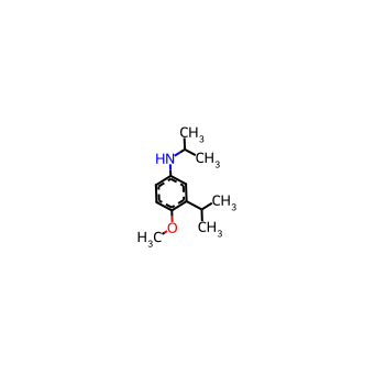 COc1ccc(NC(C)C)cc1C(C)C